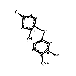 CCc1ccc(Oc2ccc(OC)c(OC)c2)c(O)c1